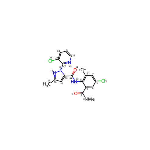 CNC(=O)c1cc(Cl)cc(C)c1NC(=O)c1cc(C)nn1-c1ncccc1Cl